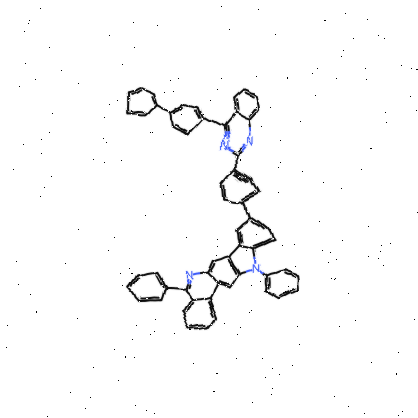 c1ccc(-c2ccc(-c3nc(-c4ccc(-c5ccc6c(c5)c5cc7nc(-c8ccccc8)c8ccccc8c7cc5n6-c5ccccc5)cc4)nc4ccccc34)cc2)cc1